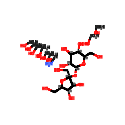 CCN.O=S(=O)(O)O.O=S(=O)(O)O.O=S(=O)(O)O.O=S(=O)(O)O.O=S(=O)(O)O.O=S(=O)(O)O.O=S(=O)(O)O.O=S(=O)(O)O.OC[C@H]1O[C@@](CO)(O[C@H]2O[C@H](CO)[C@@H](O)[C@H](O)[C@H]2O)[C@@H](O)[C@@H]1O